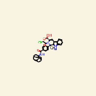 C[C@@]1(c2ccc(C(=O)NC34CC5CC(CC(C5)C3)C4)cc2)c2[nH]c3ccccc3c2C[C@H](C(=O)O)N1C(=O)CCl